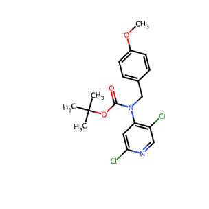 COc1ccc(CN(C(=O)OC(C)(C)C)c2cc(Cl)ncc2Cl)cc1